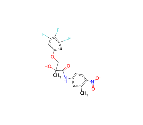 Cc1cc(NC(=O)C(C)(O)COc2cc(F)c(F)c(F)c2)ccc1[N+](=O)[O-]